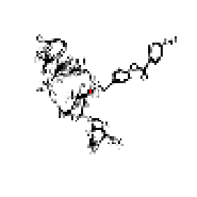 Nc1ncnc2c1ncn2[C@@H]1O[C@@H]2COP(=O)(O)O[C@@H]3[C@H](F)[C@@H](COP(=O)(SCc4ccc(OC(=O)c5ccc(O)cc5)cc4)O[C@@H]1[C@@H]2F)O[C@H]3n1ccc(=O)[nH]c1=O